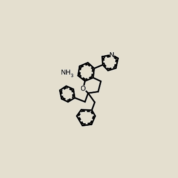 N.c1ccc(CC2(Cc3ccccc3)CCc3c(cccc3-c3cccnc3)O2)cc1